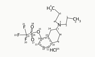 CCCN(CCC)C1CCc2cccc(OS(=O)(=O)C(F)(F)F)c2C1.Cl